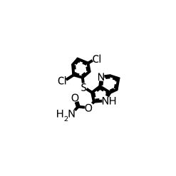 NC(=O)Oc1[nH]c2cccnc2c1Sc1cc(Cl)ccc1Cl